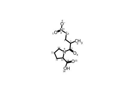 CC(CS[N+](=O)[O-])C(=O)N1CCCC1C(=O)O